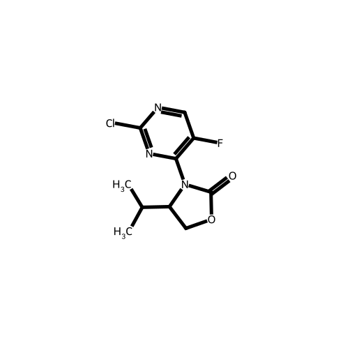 CC(C)C1COC(=O)N1c1nc(Cl)ncc1F